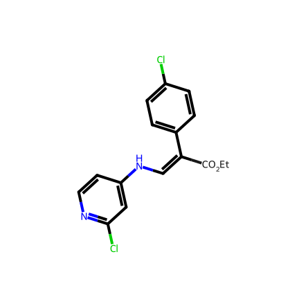 CCOC(=O)C(=CNc1ccnc(Cl)c1)c1ccc(Cl)cc1